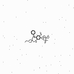 CCCCC1(CC)CSc2cc(OCC(C)(F)C(=O)OC)c(SC)cc2N(c2ccccc2)C1